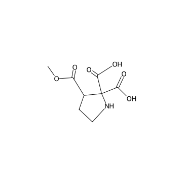 COC(=O)C1CCNC1(C(=O)O)C(=O)O